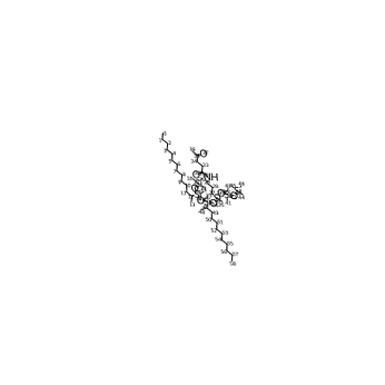 CCCCCCCCCCCCC(C)[Si](C)(O[Si](C)(C)C)O[Si](C)(O[Si](C)(CCCNC(=O)CCC(C)=O)O[Si](C)(C)O[Si](C)(C)C)C(C)CCCCCCCCCC